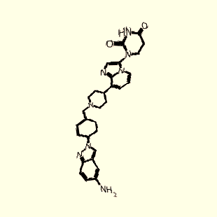 Nc1ccc2nn(C3CCC(CN4CCC(c5cccn6c(N7CCC(=O)NC7=O)cnc56)CC4)CC3)cc2c1